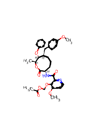 COc1ccc(C[C@H]2CCC[C@H](NC(=O)c3nccc(OC)c3OCOC(C)=O)C(=O)O[C@@H](C)[C@@H]2Oc2ccccc2)cc1